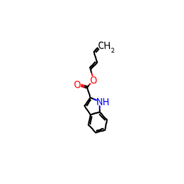 C=CC=COC(=O)c1cc2ccccc2[nH]1